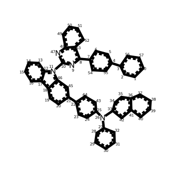 c1ccc(-c2ccc(-c3nc(-n4c5ccccc5c5ccc(-c6ccc(N(c7ccccc7)c7ccc8ccccc8c7)cc6)cc54)nc4ccccc34)cc2)cc1